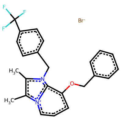 Cc1c(C)[n+]2cccc(OCc3ccccc3)c2n1Cc1ccc(C(F)(F)F)cc1.[Br-]